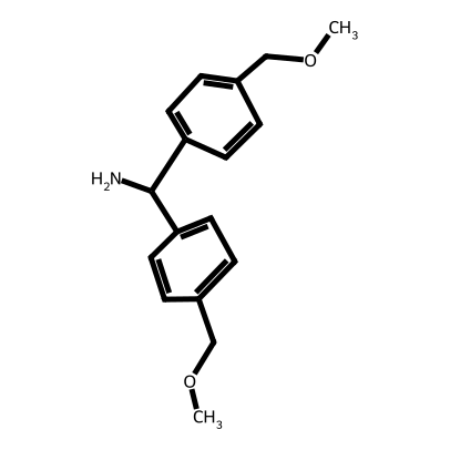 COCc1ccc(C(N)c2ccc(COC)cc2)cc1